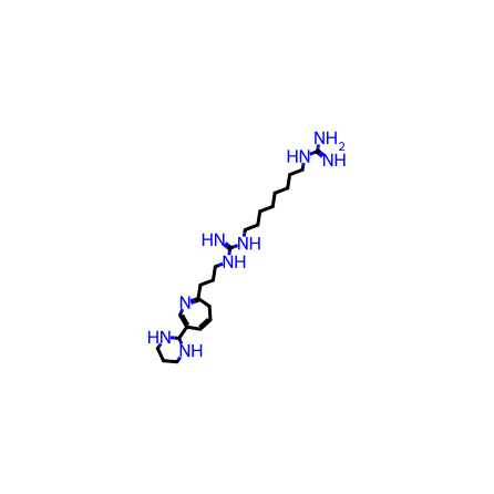 N=C(N)NCCCCCCCCNC(=N)NCCCC1=NC=C(C2NCCCN2)C=CC1